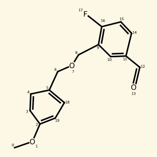 COc1ccc(COCc2cc(C=O)ccc2F)cc1